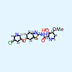 COc1ccnc(C(=O)Nc2nc3ccc(Oc4cncc(Cl)c4)cc3s2)c1O